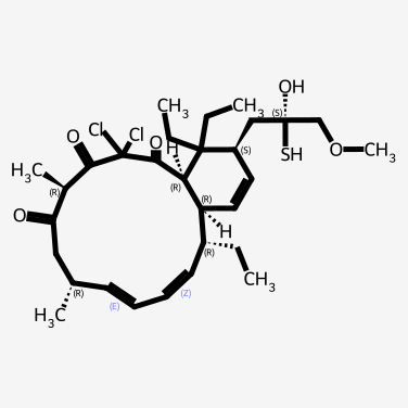 CC[C@@H]1/C=C\C=C\[C@H](C)CC(=O)[C@@H](C)C(=O)C(Cl)(Cl)C(=O)[C@@H]2[C@H]1C=C[C@H](C[C@](O)(S)COC)C2(CC)CC